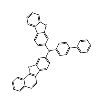 c1ccc(-c2ccc(N(c3ccc4c(c3)oc3ccccc34)c3ccc4c(c3)oc3c5ccccc5ncc43)cc2)cc1